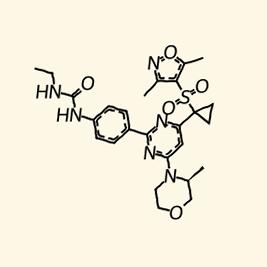 CCNC(=O)Nc1ccc(-c2nc(N3CCOC[C@@H]3C)cc(C3(S(=O)(=O)c4c(C)noc4C)CC3)n2)cc1